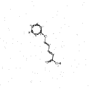 O=C(O)/C=C/C=C/Oc1ccccc1